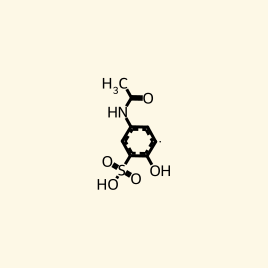 CC(=O)Nc1c[c]c(O)c(S(=O)(=O)O)c1